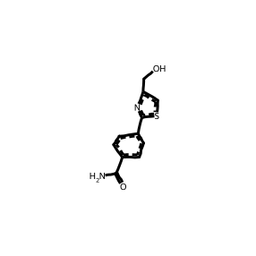 NC(=O)c1ccc(-c2nc(CO)cs2)cc1